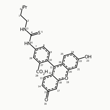 CC(C)CCNC(=S)Nc1ccc(-c2c3ccc(=O)cc-3oc3cc(O)ccc23)c(C(=O)O)c1